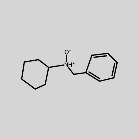 [O-][NH+](Cc1ccccc1)C1CCCCC1